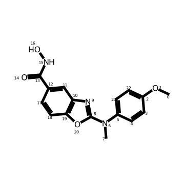 COc1ccc(N(C)c2nc3cc(C(=O)NO)ccc3o2)cc1